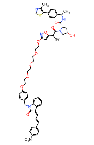 Cc1ncsc1-c1ccc(C(C)NC(=O)[C@@H]2C[C@@H](O)CN2C(=O)C(c2cc(OCCOCCOCCOCCOc3ccc(CN4C(=O)/C(=C\C=C\c5ccc([N+](=O)[O-])cc5)c5ccccc54)cc3)no2)C(C)C)cc1